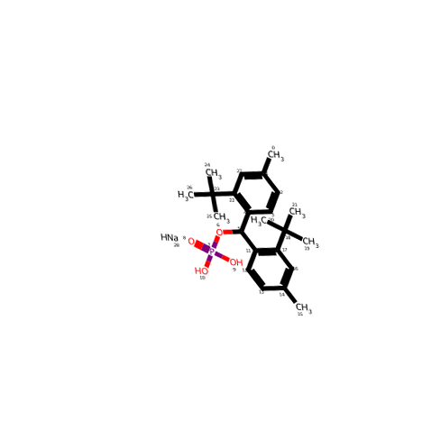 Cc1ccc(C(OP(=O)(O)O)c2ccc(C)cc2C(C)(C)C)c(C(C)(C)C)c1.[NaH]